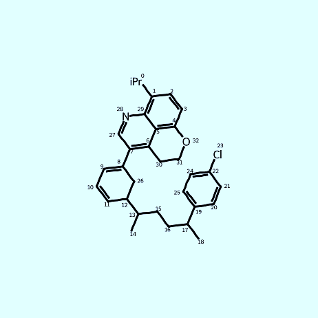 CC(C)c1ccc2c3c(c(C4=CC=CC(C(C)CCC(C)c5ccc(Cl)cc5)C4)cnc13)CCO2